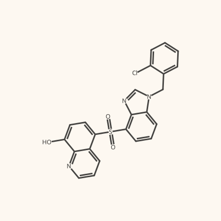 O=S(=O)(c1ccc(O)c2ncccc12)c1cccc2c1ncn2Cc1ccccc1Cl